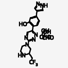 O=CO.O=CO.Oc1cc(-c2cn[nH]c2)ccc1-c1cnc(N2CCNC(CC(F)(F)F)C2)nn1